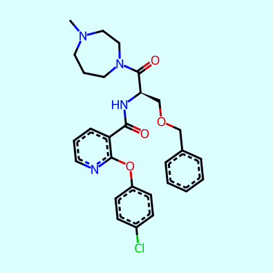 CN1CCCN(C(=O)[C@@H](COCc2ccccc2)NC(=O)c2cccnc2Oc2ccc(Cl)cc2)CC1